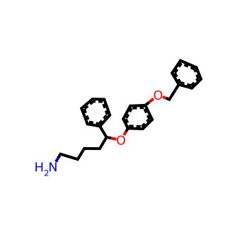 NCCCCC(Oc1ccc(OCc2ccccc2)cc1)c1ccccc1